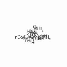 CCCCCCCCCCCCCCCC(=O)N[C@@H](CCC(N)=O)C(=O)N[C@@H](CCCCNC(=N)N)C(=O)N[C@@H](C(C)O)C(O)NC(CCCC)C(=O)NC